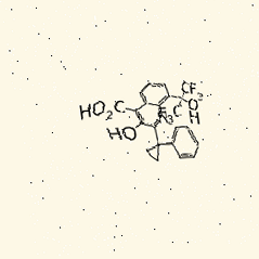 O=C(O)c1c(O)c(C2(c3ccccc3)CC2)nc2c(C(O)(C(F)(F)F)C(F)(F)F)cccc12